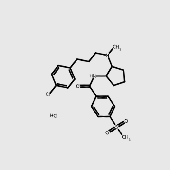 CN(CCCc1ccc(Cl)cc1)C1CCCC1NC(=O)c1ccc(S(C)(=O)=O)cc1.Cl